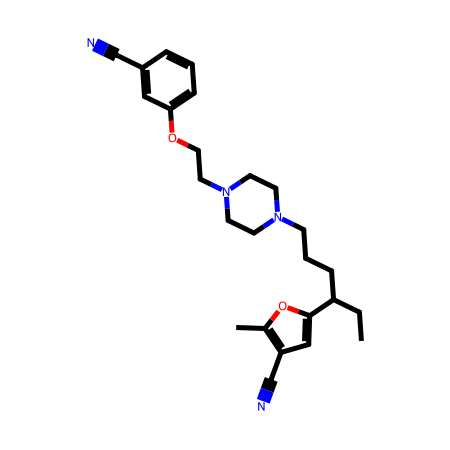 CCC(CCCN1CCN(CCOc2cccc(C#N)c2)CC1)c1cc(C#N)c(C)o1